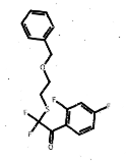 O=C(c1ccc(F)cc1F)C(F)(F)SCCOCc1ccccc1